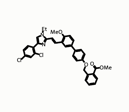 CCn1cc(-c2ccc(Cl)cc2Cl)nc1C=Cc1cc(-c2ccc(OCc3ccccc3C(=O)OC)cc2)ccc1OC